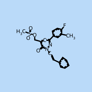 Cc1cc(-c2cc(COS(C)(=O)=O)c(=O)n(C/C=C/c3ccccc3)n2)ccc1F